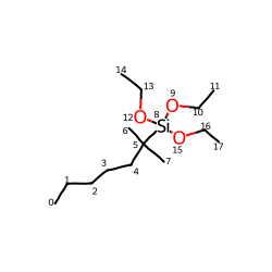 CCCCCC(C)(C)[Si](OCC)(OCC)OCC